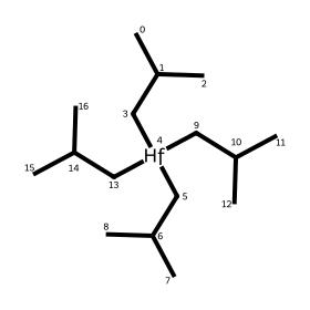 CC(C)[CH2][Hf]([CH2]C(C)C)([CH2]C(C)C)[CH2]C(C)C